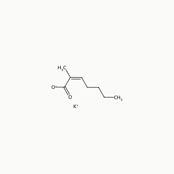 CCCCC=C(C)C(=O)[O-].[K+]